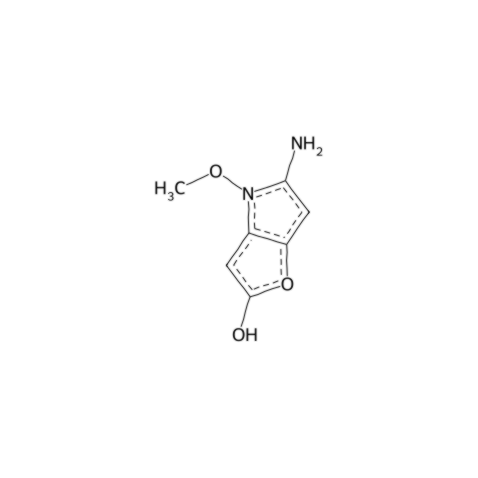 COn1c(N)cc2oc(O)cc21